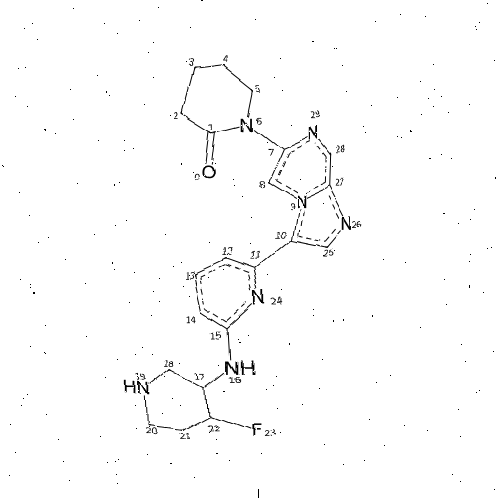 O=C1CCCCN1c1cn2c(-c3cccc(NC4CNCCC4F)n3)cnc2cn1